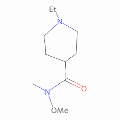 CCN1CCC(C(=O)N(C)OC)CC1